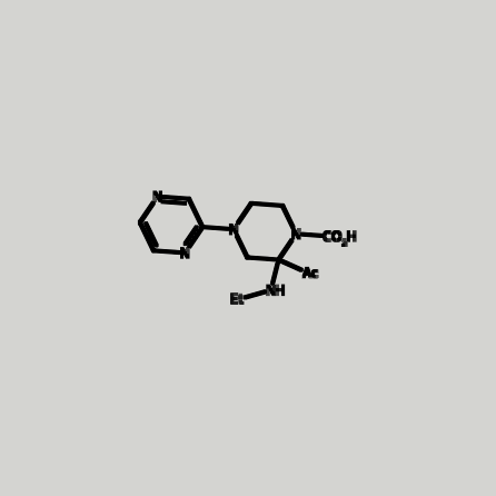 CCNC1(C(C)=O)CN(c2cnccn2)CCN1C(=O)O